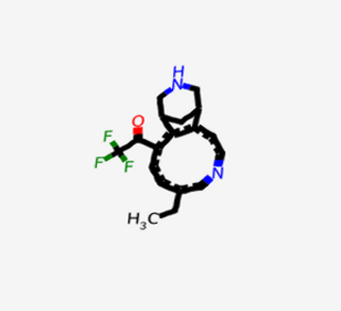 CCc1ccc(C(=O)C(F)(F)F)c2c(ccnc1)C1CNCC2C1